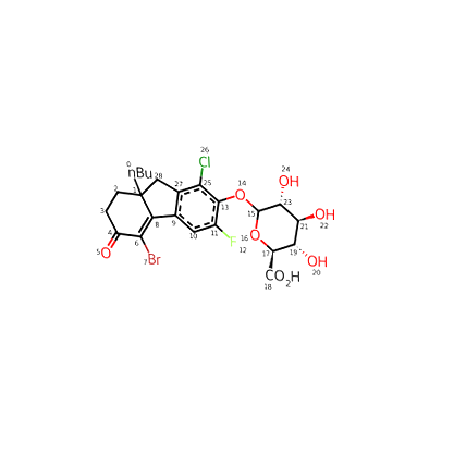 CCCCC12CCC(=O)C(Br)=C1c1cc(F)c(OC3O[C@H](C(=O)O)[C@@H](O)[C@H](O)[C@H]3O)c(Cl)c1C2